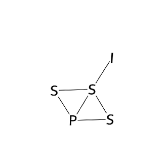 IS12SP1S2